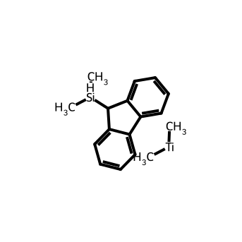 C[SiH](C)C1c2ccccc2-c2ccccc21.[CH3][Ti][CH3]